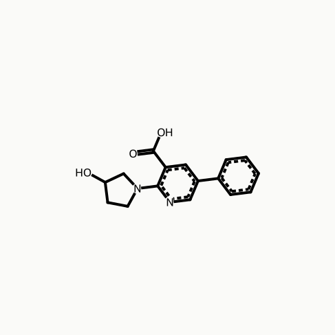 O=C(O)c1cc(-c2ccccc2)cnc1N1CCC(O)C1